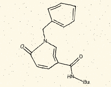 CCC(C)NC(=O)c1ccc(=O)n(Cc2ccccc2)c1